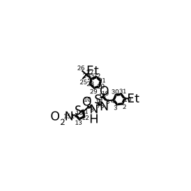 CCc1ccc(-c2nc(NC(=O)c3ccc([N+](=O)[O-])s3)sc2Oc2ccc(C(C)(C)CC)cc2)cc1